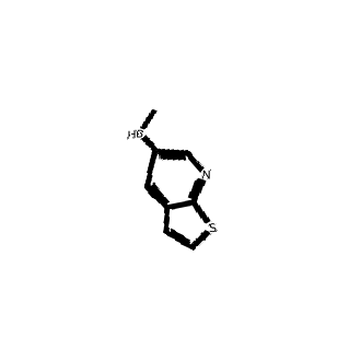 CBc1cnc2sccc2c1